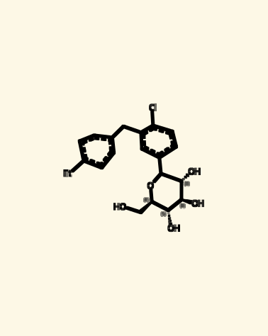 CCc1ccc(Cc2cc(C3O[C@H](CO)[C@@H](O)[C@H](O)[C@H]3O)ccc2Cl)cc1